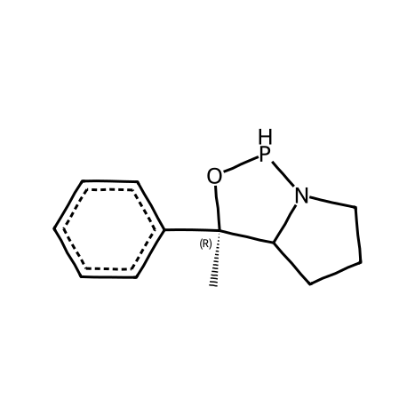 C[C@]1(c2ccccc2)OPN2CCCC21